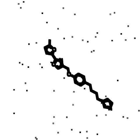 Cc1ccc(-c2nc(COc3ccc(CCCCn4ccnc4)cc3)co2)o1